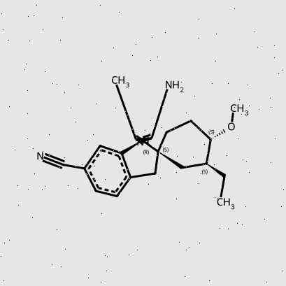 CC[C@H]1C[C@@]2(CC[C@@H]1OC)Cc1ccc(C#N)cc1[C@@]21N=C(C)C(N)=N1